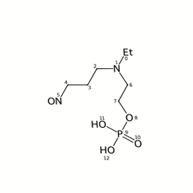 CCN(CCCN=O)CCOP(=O)(O)O